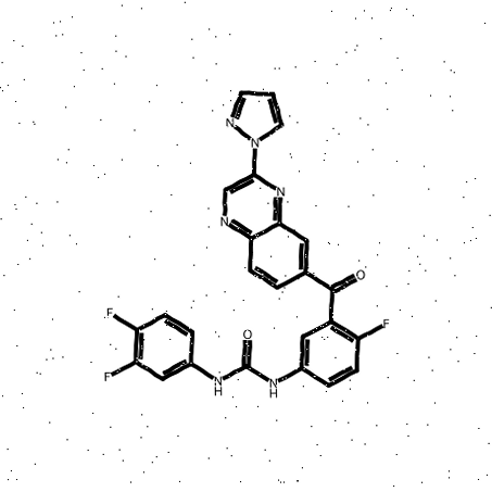 O=C(Nc1ccc(F)c(F)c1)Nc1ccc(F)c(C(=O)c2ccc3ncc(-n4cccn4)nc3c2)c1